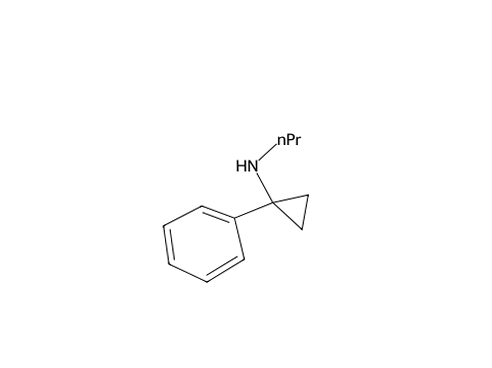 CCCNC1(c2ccccc2)CC1